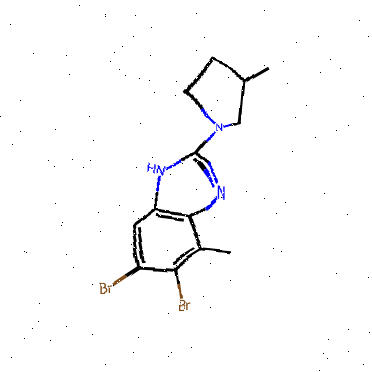 Cc1c(Br)c(Br)cc2[nH]c(N3CCC(C)C3)nc12